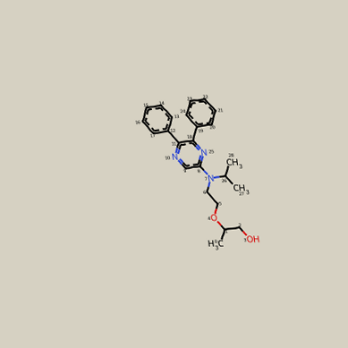 CC(CO)OCCN(c1cnc(-c2ccccc2)c(-c2ccccc2)n1)C(C)C